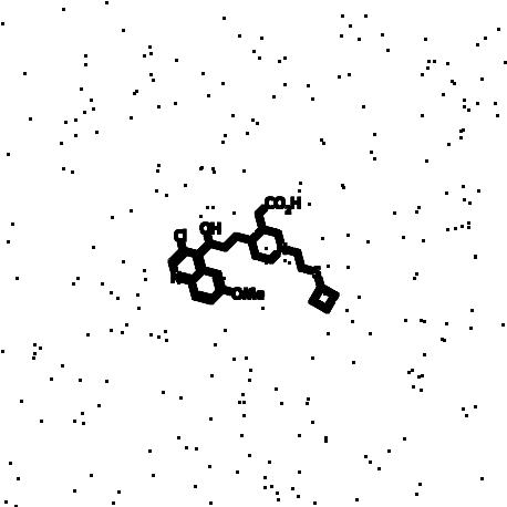 COc1ccc2ncc(Cl)c(C(O)CCC3CCN(CCSC4CCC4)CC3CC(=O)O)c2c1